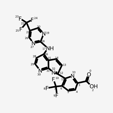 O=C(O)c1ccc(C(F)(F)F)c(-c2ccc3c(Nc4ncc(C(F)(F)F)cn4)ccnc3n2)n1